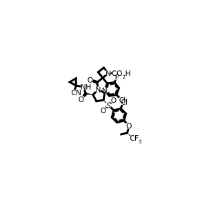 C[C@H](Oc1ccc(S(=O)(=O)[C@@H]2C[C@@H](C(=O)NC3(C#N)CC3)N(C(=O)C3(c4ncc(Cl)cc4F)CCN3C(=O)O)C2)c(Cl)c1)C(F)(F)F